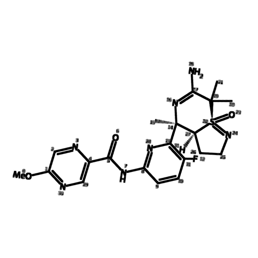 COc1cnc(C(=O)Nc2ccc(F)c([C@@]3(C)N=C(N)C(C)(C)[S@@]4(=O)=NCC[C@@H]34)n2)cn1